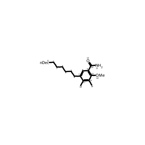 CCCCCCCCCCCCCCCCc1cc(C(N)=O)c(OC)c(C)c1C